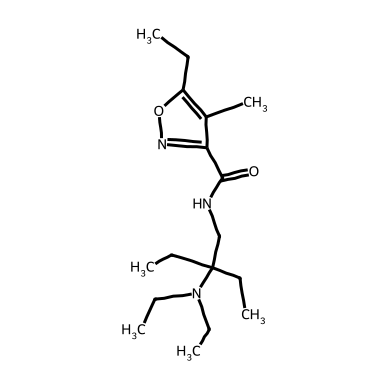 CCc1onc(C(=O)NCC(CC)(CC)N(CC)CC)c1C